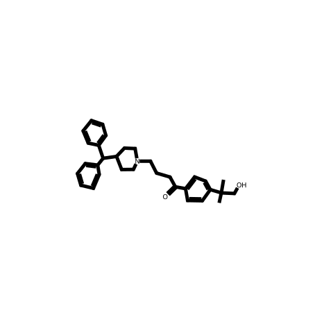 CC(C)(CO)c1ccc(C(=O)CCCN2CCC(C(c3ccccc3)c3ccccc3)CC2)cc1